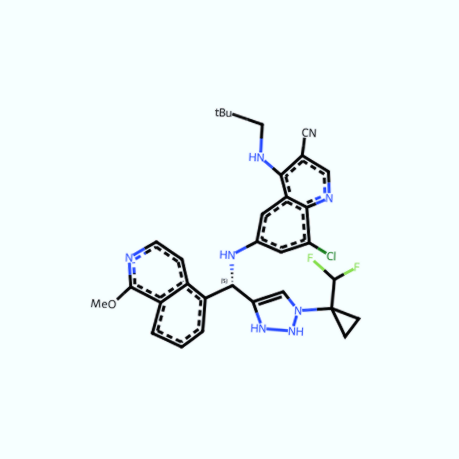 COc1nccc2c([C@H](Nc3cc(Cl)c4ncc(C#N)c(NCC(C)(C)C)c4c3)C3=CN(C4(C(F)F)CC4)NN3)cccc12